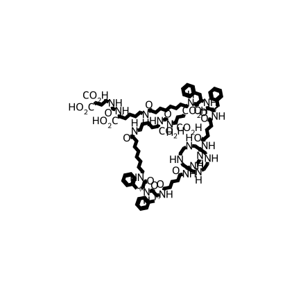 O=C(O)CCC(NC(=O)N[C@@H](CCCCNC(=O)CCCCCCCNC(=O)C(Cc1ccccc1)NC(=O)[C@@H](Cc1ccccc1)NC(=O)CCCC(=O)NC12CNCCNCC(NC(=O)CCCC(=O)N[C@H](Cc3ccccc3)C(=O)N[C@H](Cc3ccccc3)C(=O)NCCCCCCCC(=O)NCCCCC(NC(=O)N[C@@H](CCC(=O)O)C(=O)O)C(=O)O)(CNCCNC1)NCCN2)C(=O)O)C(=O)O